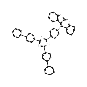 c1ccc(-c2ccc(-c3nc(-c4ccc(-c5ccccc5)cc4)nc(-c4ccc(-c5c6ccccc6nc6sc7ccccc7c56)cc4)n3)cc2)cc1